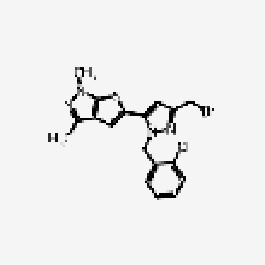 Cc1nn(C)c2sc(-c3cc(CBr)nn3Cc3ccccc3Cl)cc12